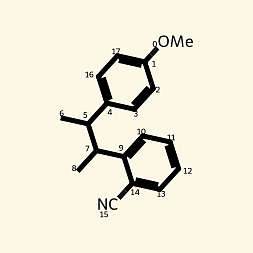 COc1ccc(C(C)C(C)c2ccccc2C#N)cc1